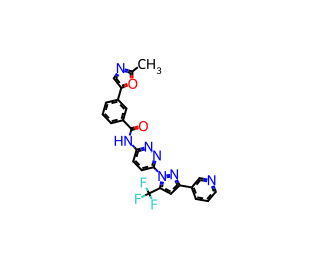 Cc1ncc(-c2cccc(C(=O)Nc3ccc(-n4nc(-c5cccnc5)cc4C(F)(F)F)nn3)c2)o1